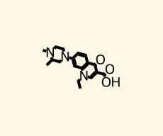 CCn1cc(C(=O)O)c(=O)c2ccc(N3CCN(C)C(C)C3)cc21